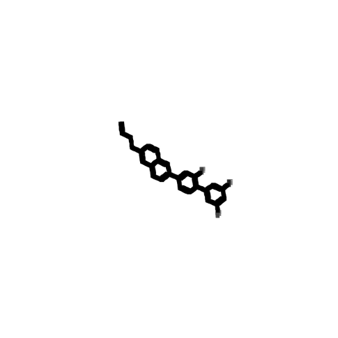 C=CCCc1ccc2cc(-c3ccc(-c4cc(F)cc(F)c4)c(F)c3)ccc2c1